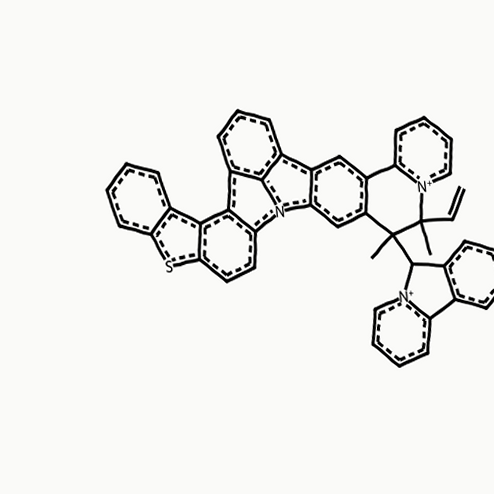 C=CC1(C)[n+]2ccccc2-c2cc3c4cccc5c6c7c(ccc6n(c3cc2C1(C)C1c2ccccc2-c2cccc[n+]21)c45)sc1ccccc17